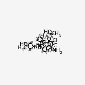 C[C@H]1c2c(cccc2-c2c(F)c(OCC(C)(C)O)c(Cl)c(F)c2C(N)=O)O[C@]1(CNC1CCC(C)(O)CC1)c1ccccc1